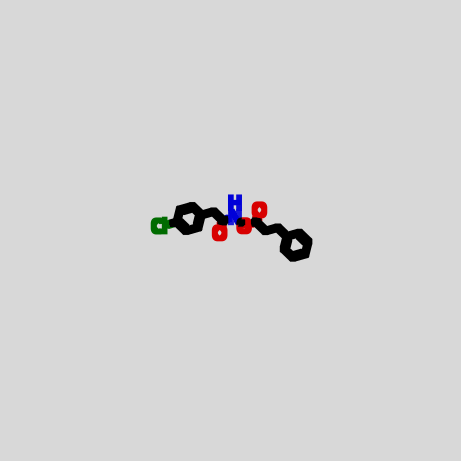 O=C(Cc1ccc(Cl)cc1)NOC(=O)CCc1ccccc1